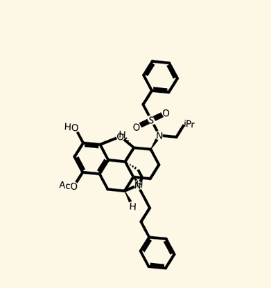 CC(=O)Oc1cc(O)c2c3c1C[C@@H]1[C@@H]4CC[C@H](N(CC(C)C)S(=O)(=O)Cc5ccccc5)[C@H](O2)[C@]34CCN1CCc1ccccc1